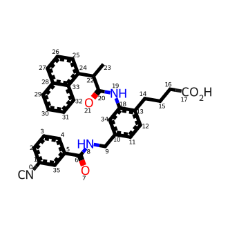 [C-]#[N+]c1cccc(C(=O)NCc2ccc(CCCC(=O)O)c(NC(=O)C(C)c3cccc4ccccc34)c2)c1